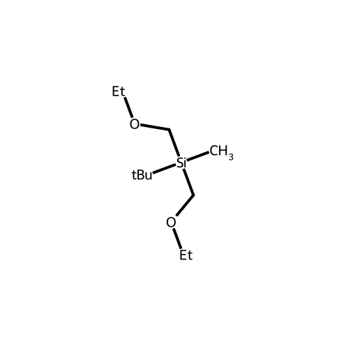 CCOC[Si](C)(COCC)C(C)(C)C